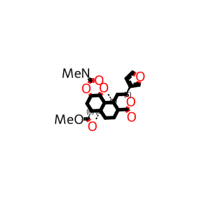 CNC(=O)OC1C[C@@H](C(=O)OC)[C@]2(C)CCC3C(=O)O[C@H](c4ccoc4)C[C@]3(C)C2C1=O